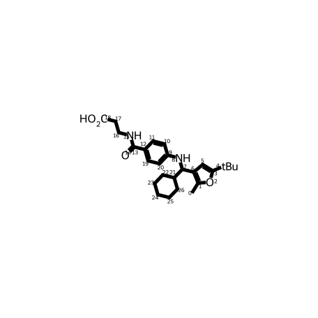 Cc1oc(C(C)(C)C)cc1C(Nc1ccc(C(=O)NCCC(=O)O)cc1)C1CCCCC1